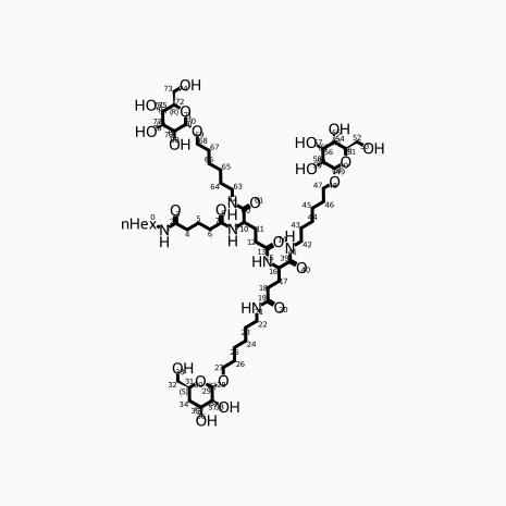 CCCCCCNC(=O)CCCC(=O)NC(CCC(=O)NC(CCC(=O)NCCCCCCO[C@H]1O[C@H](CO)C[C@H](O)[C@@H]1O)C(=O)NCCCCCCO[C@H]1O[C@H](CO)[C@@H](O)[C@H](O)[C@@H]1O)C(=O)NCCCCCCO[C@H]1O[C@H](CO)[C@@H](O)[C@H](O)[C@@H]1O